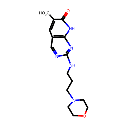 O=C(O)c1cc2cnc(NCCCN3CCOCC3)nc2[nH]c1=O